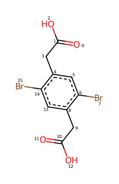 O=C(O)Cc1cc(Br)c(CC(=O)O)cc1Br